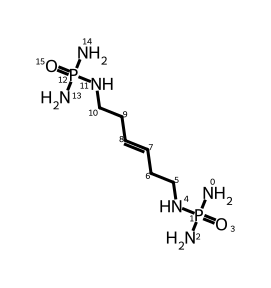 NP(N)(=O)NCCC=CCCNP(N)(N)=O